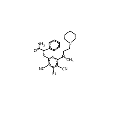 CCc1c(C#N)c(SC(C(N)=O)c2ccccc2)nc(N(C)CCN2CCCCC2)c1C#N